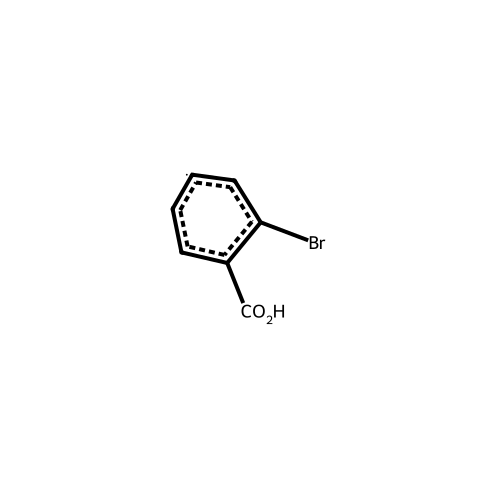 O=C(O)c1cc[c]cc1Br